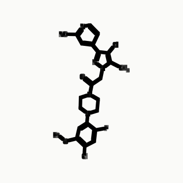 CCOc1cc(N2CCN(C(=O)Cn3nc(-c4ccnc(C#N)c4)c(Cl)c3C)CC2)c(F)cc1Cl